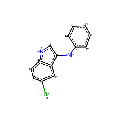 Brc1ccc2[nH]cc(Nc3ccccc3)c2c1